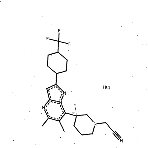 Cc1nc2cc(C3CCC(C(F)(F)F)CC3)nn2c([C@]2(C)CCCN(CC#N)C2)c1C.Cl